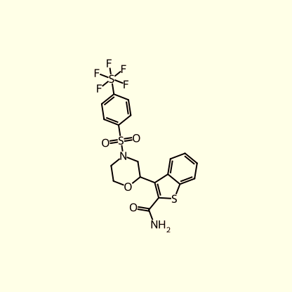 NC(=O)c1sc2ccccc2c1C1CN(S(=O)(=O)c2ccc(S(F)(F)(F)(F)F)cc2)CCO1